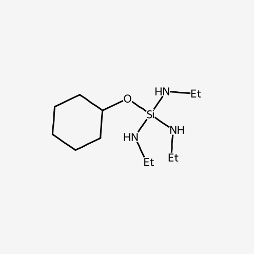 CCN[Si](NCC)(NCC)OC1CCCCC1